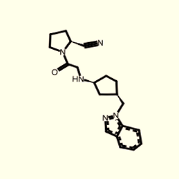 N#C[C@@H]1CCCN1C(=O)CN[C@H]1CC[C@@H](Cn2ncc3ccccc32)C1